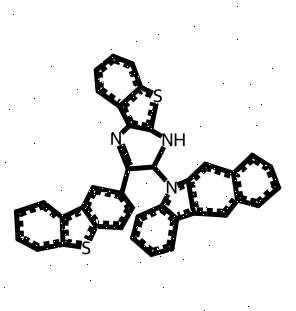 c1ccc2cc3c(cc2c1)c1ccccc1n3C1Nc2sc3ccccc3c2N=C1c1ccc2sc3ccccc3c2c1